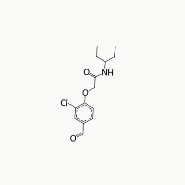 CCC(CC)NC(=O)COc1ccc(C=O)cc1Cl